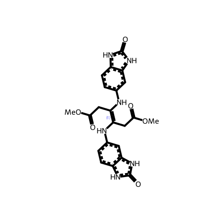 COC(=O)C/C(Nc1ccc2[nH]c(=O)[nH]c2c1)=C(/CC(=O)OC)Nc1ccc2[nH]c(=O)[nH]c2c1